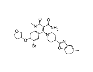 Cc1ccc2oc(C3CCN(c4c(C(N)=O)c(=O)n(C)c5cc(OC6CCOC6)c(Br)cc45)CC3)nc2c1